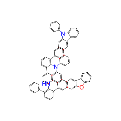 c1ccc(-c2cccc(-c3ccccc3)c2Nc2cc(-c3ccc4oc5ccccc5c4c3)cc(N(c3cccc(-c4ccc5c(c4)c4ccccc4n5-c4ccccc4)c3)c3c(-c4ccccc4)cccc3-c3ccccc3)c2)cc1